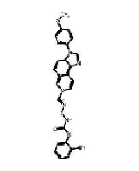 CC(C)c1ccccc1NC(=O)NS/N=C/N1C=CC2=C3N=CN(c4ccc(OC(F)(F)F)cc4)C3C=CC2=C1